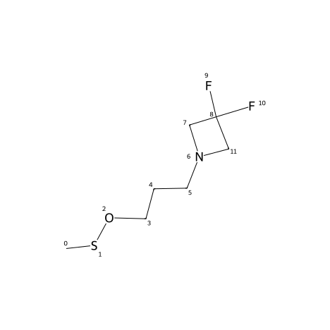 CSOCCCN1CC(F)(F)C1